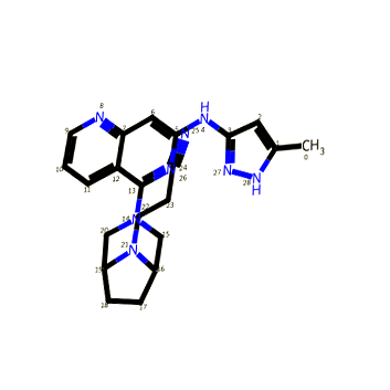 Cc1cc(Nc2cc3ncccc3c(N3CC4CCC(C3)N4CCC#N)n2)n[nH]1